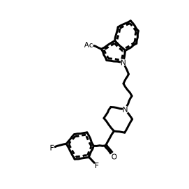 CC(=O)c1cn(CCCN2CCC(C(=O)c3ccc(F)cc3F)CC2)c2ccccc12